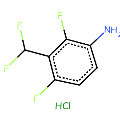 Cl.Nc1ccc(F)c(C(F)F)c1F